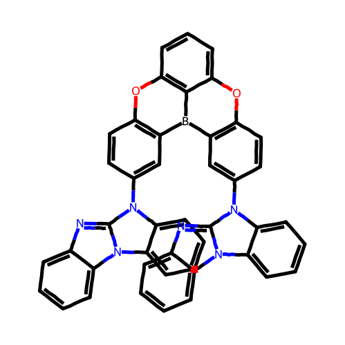 c1cc2c3c(c1)Oc1ccc(-n4c5ccccc5n5c6ccccc6nc45)cc1B3c1cc(-n3c4ccccc4n4c5ccccc5nc34)ccc1O2